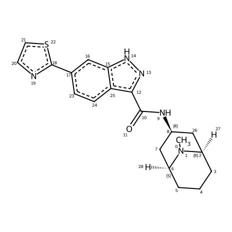 CN1[C@@H]2CCC[C@H]1C[C@@H](NC(=O)c1n[nH]c3cc(-c4nccs4)ccc13)C2